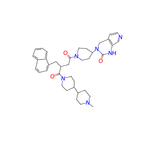 CN1CCC(C2CCN(C(=O)C(CC(=O)N3CCC(N4Cc5ccncc5NC4=O)CC3)Cc3cccc4ccccc34)CC2)CC1